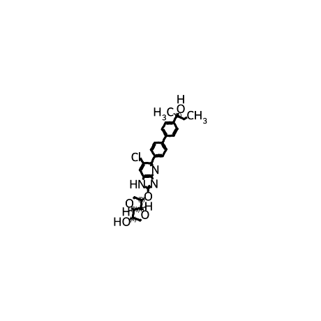 CC[C@](C)(O)c1ccc(-c2ccc(-c3nc4nc(O[C@@H]5CO[C@H]6[C@@H]5OC[C@H]6O)[nH]c4cc3Cl)cc2)cc1